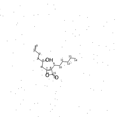 C=CCCC(O)CC1=C(CCCCCC)C(=O)O1